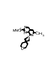 CSc1ncc2cc(C)nc(N3CC4(CCOCC4)C3)c2n1